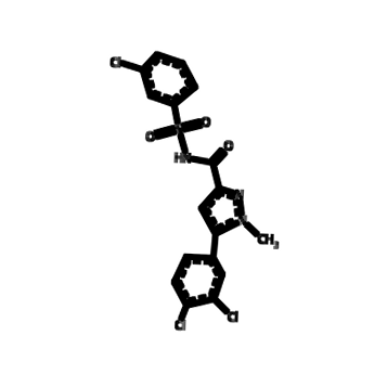 Cn1nc(C(=O)NS(=O)(=O)c2cccc(Cl)c2)cc1-c1ccc(Cl)c(Cl)c1